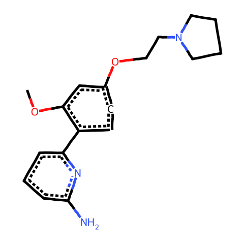 COc1cc(OCCN2CCCC2)ccc1-c1cccc(N)n1